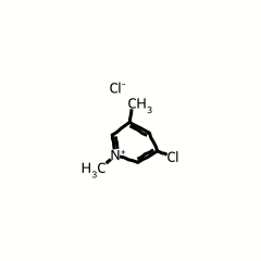 Cc1cc(Cl)c[n+](C)c1.[Cl-]